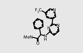 CNC(=O)C(Nc1ccnc(-c2cncc(C(F)(F)F)c2)n1)c1ccccc1